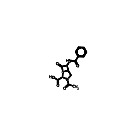 CC(=O)N1CC2C(NC(=O)c3ccccc3)C(=O)N2C1C(=O)O